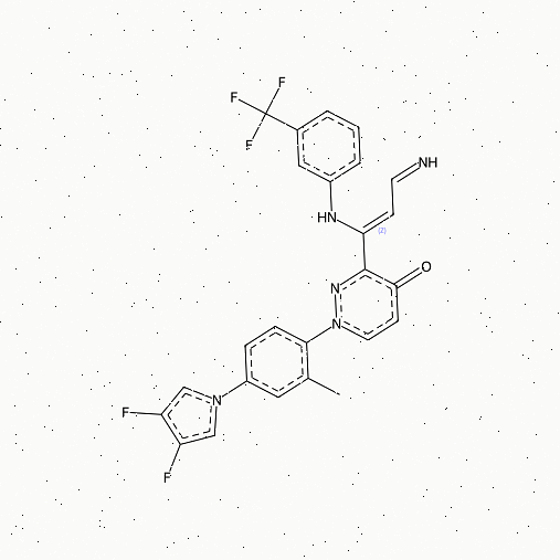 Cc1cc(-n2cc(F)c(F)c2)ccc1-n1ccc(=O)c(/C(=C/C=N)Nc2cccc(C(F)(F)F)c2)n1